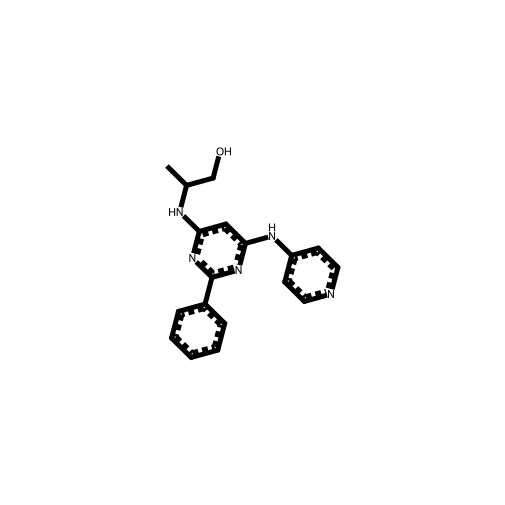 CC(CO)Nc1cc(Nc2ccncc2)nc(-c2ccccc2)n1